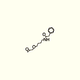 O=C(Cc1ccccc1)NCCCCOCC1CO1